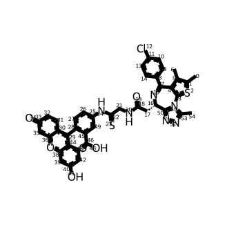 Cc1sc2c(c1C)C(c1ccc(Cl)cc1)=N[C@@H](CC(=O)NCC(=S)Nc1ccc(-c3c4ccc(=O)cc-4oc4cc(O)ccc34)c(C(=O)O)c1)c1nnc(C)n1-2